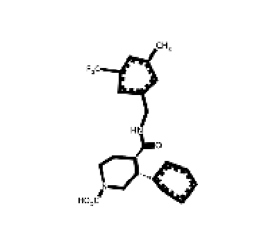 Cc1cc(CNC(=O)[C@@H]2CCN(C(=O)O)C[C@H]2c2ccccc2)cc(C(F)(F)F)c1